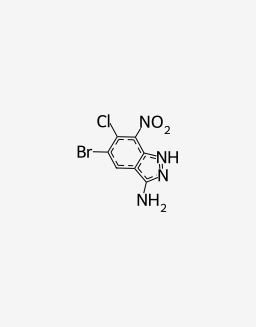 Nc1n[nH]c2c([N+](=O)[O-])c(Cl)c(Br)cc12